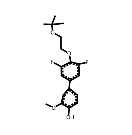 COc1cc(-c2cc(F)c(OCCOC(C)(C)C)c(F)c2)ccc1O